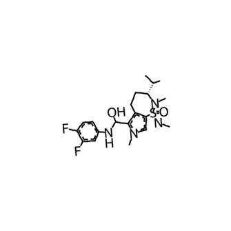 CN=S1(=O)c2cn(C)c(C(O)Nc3ccc(F)c(F)c3)c2CC[C@H](C(C)C)N1C